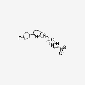 CC1(CN2Cc3ccc(-c4ccc(F)cc4)nc3C2)Cn2cc([N+](=O)[O-])nc2O1